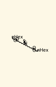 CCCCCC/C=C\COC(=O)CCCCCCCC(CCCCCCCC(=O)OC/C=C\CCCCCC)N=C=S